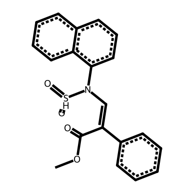 COC(=O)C(=CN(c1cccc2ccccc12)[SH](=O)=O)c1ccccc1